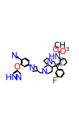 COC(=O)N[C@H]1CCC[C@@H]1[C@](CN1CCC1)(c1cccc(F)c1)C1CCN(CC2CN(c3ccc(C#N)c(Oc4cn[nH]c4)c3)C2)CC1